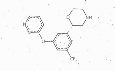 FC(F)(F)c1cc(Oc2cccnn2)cc([C@H]2CNCCO2)c1